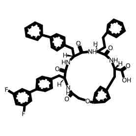 O=C1COc2ccc(cc2)C[C@@H](C(=O)O)NC(=O)[C@H](CCc2ccccc2)NC(=O)[C@@H](Cc2ccc(-c3ccccc3)cc2)NC(=O)[C@H](Cc2ccc(-c3cc(F)cc(F)c3)cc2)N1